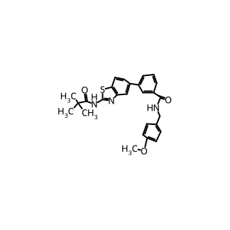 COc1ccc(CNC(=O)c2cccc(-c3ccc4sc(NC(=O)C(C)(C)C)nc4c3)c2)cc1